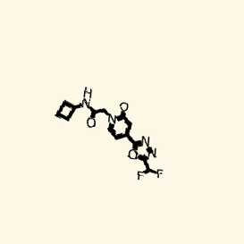 O=C(Cn1ccc(-c2nnc(C(F)F)o2)cc1=O)NC1CCC1